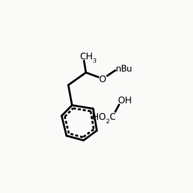 CCCCOC(C)Cc1ccccc1.O=C(O)O